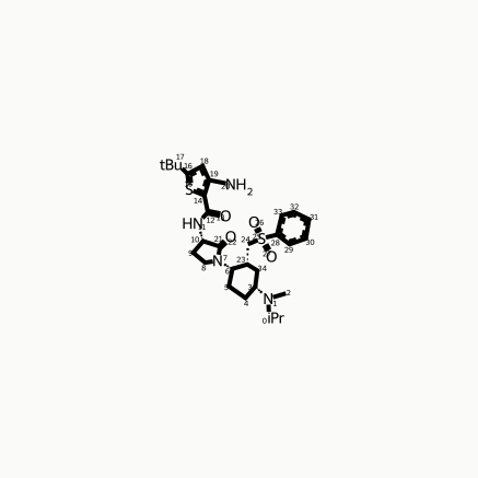 CC(C)N(C)[C@@H]1CC[C@H](N2CC[C@H](NC(=O)c3sc(C(C)(C)C)cc3N)C2=O)[C@H](CS(=O)(=O)c2ccccc2)C1